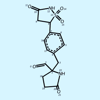 O=CC1(Cc2ccc(C3CC(=O)NS3(=O)=O)cc2)CCC(=O)N1